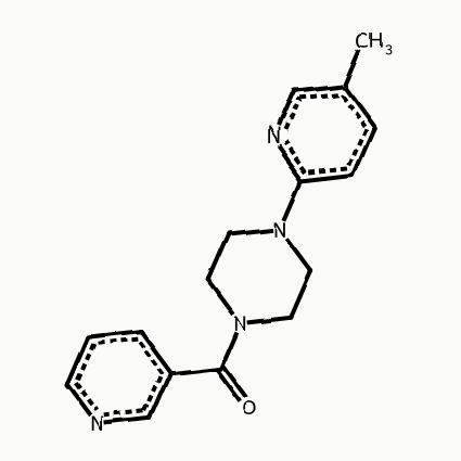 Cc1ccc(N2CCN(C(=O)c3cccnc3)CC2)nc1